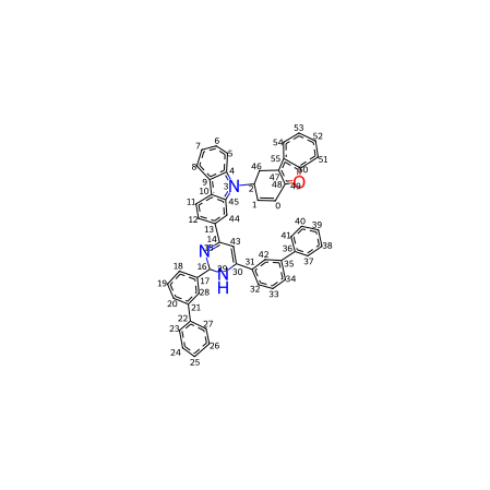 C1=CC(n2c3ccccc3c3ccc(C4=NC(c5cccc(-c6ccccc6)c5)NC(c5cccc(-c6ccccc6)c5)=C4)cc32)Cc2c1oc1ccccc21